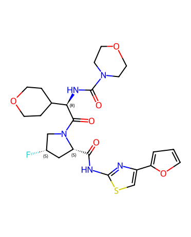 O=C(Nc1nc(-c2ccco2)cs1)[C@@H]1C[C@H](F)CN1C(=O)[C@H](NC(=O)N1CCOCC1)C1CCOCC1